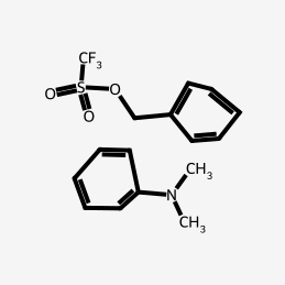 CN(C)c1ccccc1.O=S(=O)(OCc1ccccc1)C(F)(F)F